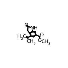 C=C(C)c1cc(C(=O)OC)cc2c1CC(=O)N2